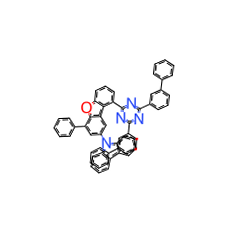 c1ccc(-c2cccc(-c3nc(-c4cccc(-c5ccccc5)c4)nc(-c4cccc5oc6c(-c7ccccc7)cc(-n7c8ccccc8c8ccccc87)cc6c45)n3)c2)cc1